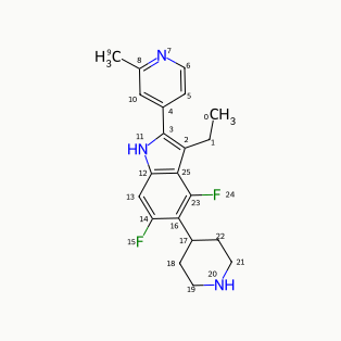 CCc1c(-c2ccnc(C)c2)[nH]c2cc(F)c(C3CCNCC3)c(F)c12